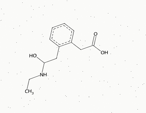 CCNC(O)Cc1ccccc1CC(=O)O